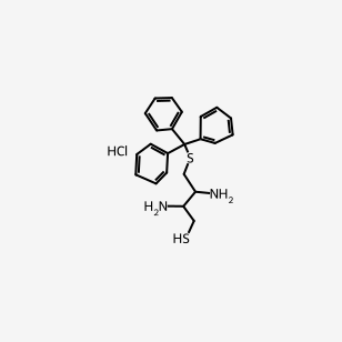 Cl.NC(CS)C(N)CSC(c1ccccc1)(c1ccccc1)c1ccccc1